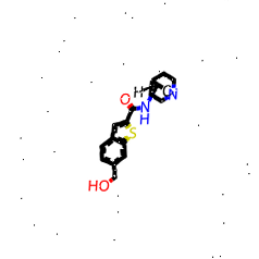 O=C(N[C@H]1CN2CCC1CC2)c1cc2ccc(CO)cc2s1